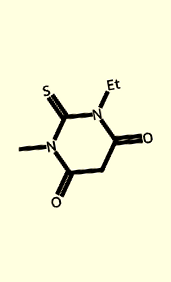 CCN1C(=O)CC(=O)N(C)C1=S